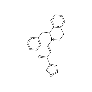 O=C(C=CN1CCc2ccccc2C1Cc1ccccc1)c1ccoc1